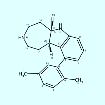 Cc1ccc(C)c(-c2cccc3c2[C@@H]2CCNCC[C@@H]2N3)c1